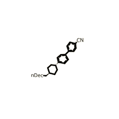 CCCCCCCCCCC[C@H]1CC[C@H](c2ccc(-c3ccc(C#N)cc3)cc2)CC1